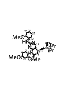 COc1ccc(-n2c(=O)cc(C#C[Si](C(C)C)(C(C)C)C(C)C)c3cnc(Nc4ccccc4OC)nc32)c(OC)c1